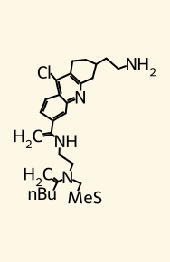 C=C(NCCN(CSC)C(=C)CCCC)c1ccc2c(Cl)c3c(nc2c1)CC(CCN)CC3